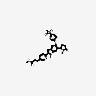 COC(=O)CCc1ccc(-c2cc3cc(Oc4ccc(S(C)(=O)=O)nc4)c(C4CCC(=O)N4C)cc3[nH]2)nc1